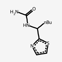 CCCCC(NC(N)=O)c1nccs1